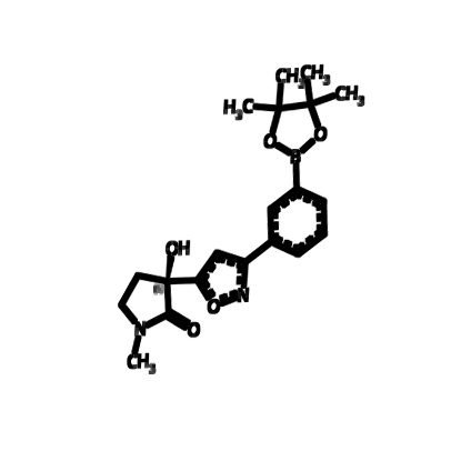 CN1CC[C@](O)(c2cc(-c3cccc(B4OC(C)(C)C(C)(C)O4)c3)no2)C1=O